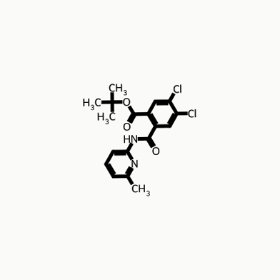 Cc1cccc(NC(=O)c2cc(Cl)c(Cl)cc2C(=O)OC(C)(C)C)n1